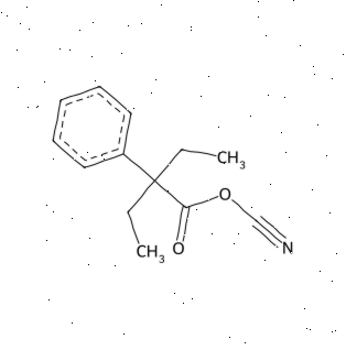 CCC(CC)(C(=O)OC#N)c1ccccc1